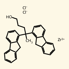 CC(CCCO)(c1cccc2c1Cc1ccccc1-2)c1cccc2c1Cc1ccccc1-2.[Cl-].[Cl-].[Zr+2]